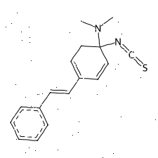 CN(C)C1(N=C=S)C=CC(C=Cc2ccccc2)=CC1